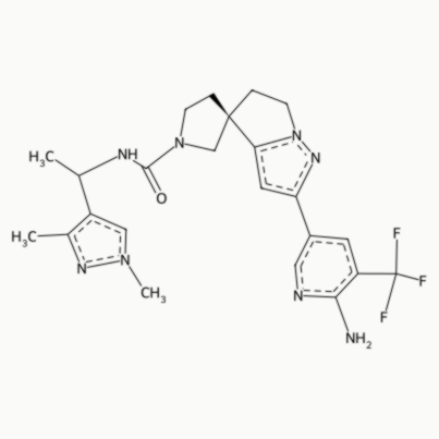 Cc1nn(C)cc1C(C)NC(=O)N1CC[C@]2(CCn3nc(-c4cnc(N)c(C(F)(F)F)c4)cc32)C1